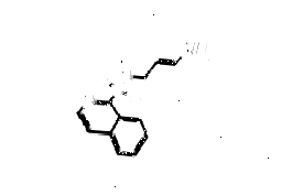 NC=CCNS(=O)(=O)c1nccc2ccccc12